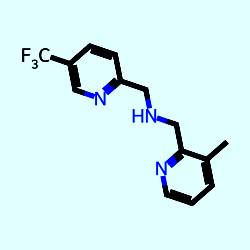 Cc1cccnc1CNCc1ccc(C(F)(F)F)cn1